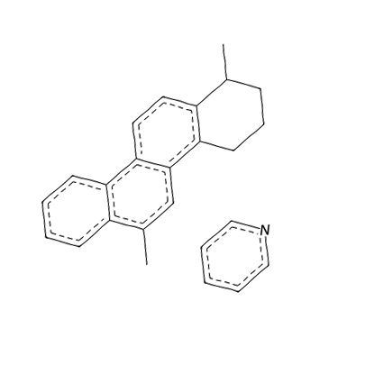 Cc1cc2c3c(ccc2c2ccccc12)C(C)CCC3.c1ccncc1